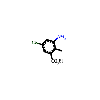 CCOC(=O)c1cc(Cl)cc(N)c1C